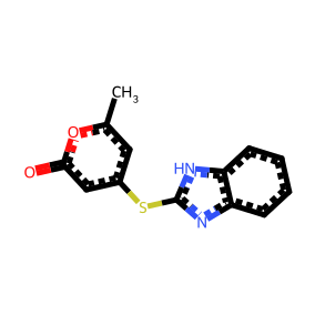 Cc1cc(Sc2nc3ccccc3[nH]2)cc(=O)o1